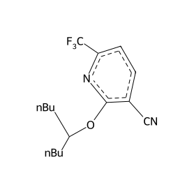 CCCCC(CCCC)Oc1nc(C(F)(F)F)ccc1C#N